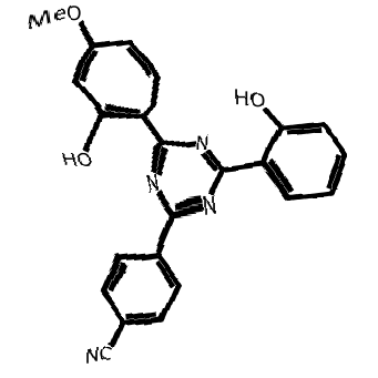 COc1ccc(-c2nc(-c3ccc(C#N)cc3)nc(-c3ccccc3O)n2)c(O)c1